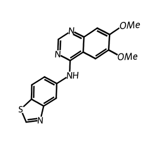 COc1cc2ncnc(Nc3ccc4scnc4c3)c2cc1OC